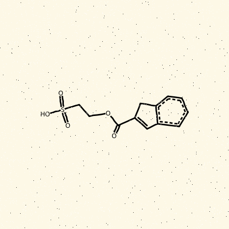 O=C(OCCS(=O)(=O)O)C1=Cc2ccccc2C1